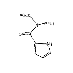 CCCCCCCCN(CCCCCCCC)C(=O)c1ccc[nH]1